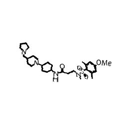 COc1cc(C)c(S(=O)(=O)N(C)CCC(=O)NC2CCC(N3CCC(CN4CCCC4)CC3)CC2)c(C)c1